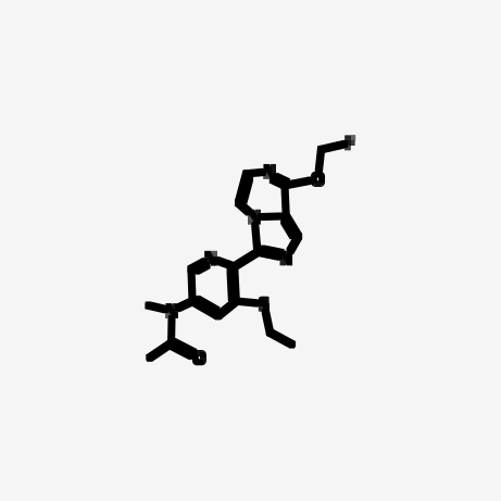 CCSc1cc(N(C)C(C)=O)cnc1-c1ncc2c(OCF)nccn12